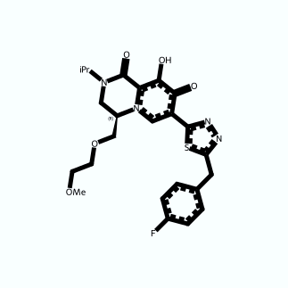 COCCOC[C@H]1CN(C(C)C)C(=O)c2c(O)c(=O)c(-c3nnc(Cc4ccc(F)cc4)s3)cn21